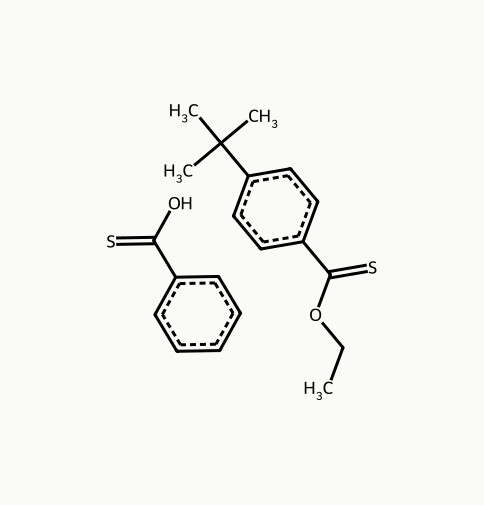 CCOC(=S)c1ccc(C(C)(C)C)cc1.OC(=S)c1ccccc1